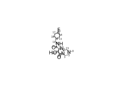 CN1CCn2c(nc(C(=O)NCc3ccc(F)cc3)c(O)c2=O)C1